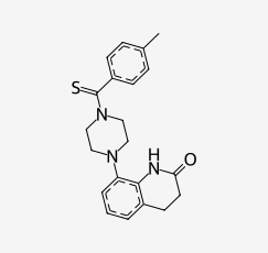 Cc1ccc(C(=S)N2CCN(c3cccc4c3NC(=O)CC4)CC2)cc1